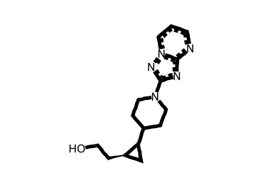 OCC[C@@H]1CC1C1CCN(c2nc3ncccn3n2)CC1